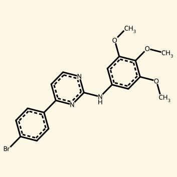 COc1cc(Nc2nccc(-c3ccc(Br)cc3)n2)cc(OC)c1OC